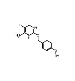 CC(C)OC1=CC=C(COC2NCC(F)=C(N)N2)CC1